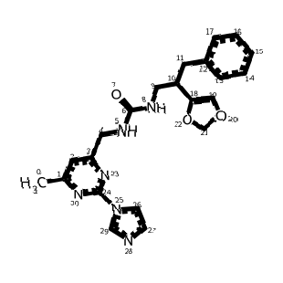 Cc1cc(CNC(=O)NCC(Cc2ccccc2)C2=COCO2)nc(-n2ccnc2)n1